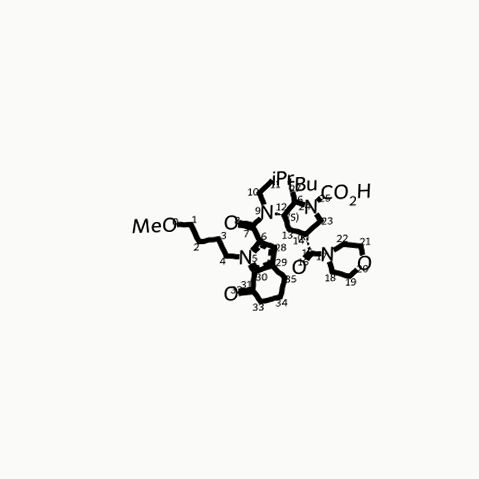 COCCCCn1c(C(=O)N(CC(C)C)[C@H]2C[C@@H](C(=O)N3CCOCC3)CN(C(=O)O)C2C(C)(C)C)cc2c1C(=O)CCC2